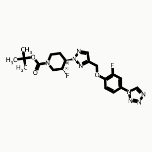 CC(C)(C)OC(=O)N1CC[C@@H](n2ncc(COc3ccc(-n4cnnn4)cc3F)n2)[C@H](F)C1